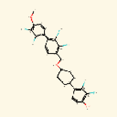 CCOc1ccc(-c2ccc(COC3CCC(c4ccc(O)c(F)c4F)CC3)c(F)c2F)c(F)c1F